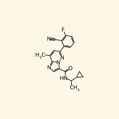 Cc1cc(-c2cccc(F)c2C#N)nn2c(C(=O)NC(C)C3CC3)cnc12